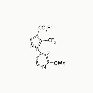 CCOC(=O)c1cnn(-c2ccnc(OC)c2C)c1C(F)(F)F